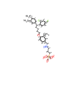 Cc1ccc(C(CCCCOc2ccc(CNCCCP(=O)(O)O)cc2C)c2ccc(F)cc2F)cc1C